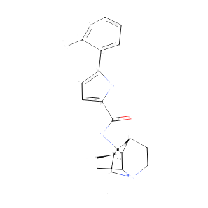 C[C@H]1[C@H](NC(=O)c2ccc(-c3ccccc3[N+](=O)[O-])[nH]2)C2CCN1CC2